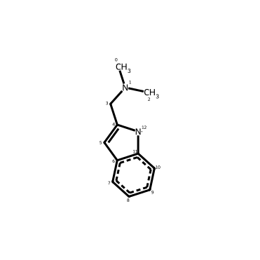 CN(C)CC1=Cc2ccccc2[N]1